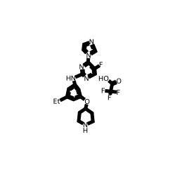 CCc1cc(Nc2ncc(F)c(-n3ccnc3)n2)cc(OC2CCNCC2)c1.O=C(O)C(F)(F)F